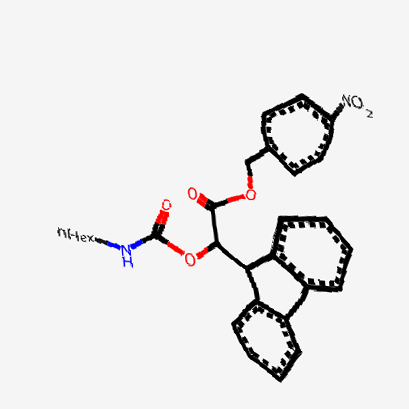 [CH2]CCCCCNC(=O)OC(C(=O)OCc1ccc([N+](=O)[O-])cc1)C1c2ccccc2-c2ccccc21